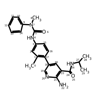 Cc1cc(NC(=O)N(C)c2ccccc2)ccc1-c1cnc(N)c(C(=O)NC(C)C)c1